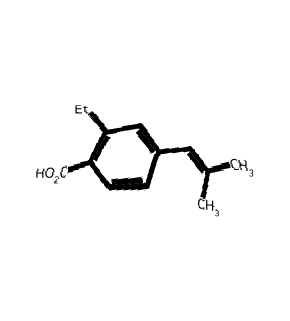 CCc1cc(C=C(C)C)ccc1C(=O)O